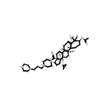 CC(=O)O[C@H]1CC[C@]2(C)[C@H]3CC[C@@H]4[C@H]5[C@H](C6CC6)CC[C@]5(C(=O)N5CCN(CCCN6CCOCC6)CC5)CC[C@@]4(C)[C@]3(C)CC[C@H]2C1(C)C